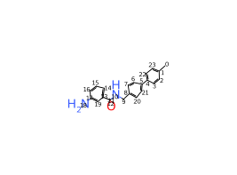 Cc1ccc(-c2ccc(CNC(=O)c3cccc(N)c3)cc2)cc1